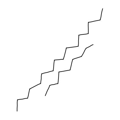 CCCCCCCCC.CCCCCCCCCCCCCCCC